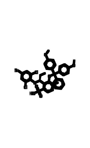 CC[C@H](Oc1c(Cl)cc(Br)cc1Cl)c1c(S(=O)(=O)O)ccc(C)c1OC(c1ccccc1)(c1ccc(OC)cc1)c1ccc(OC)cc1